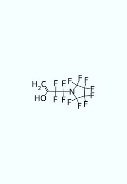 C=C(O)C(F)(F)C(F)(F)N1C(F)(F)C(F)(F)C(F)(F)C1(F)F